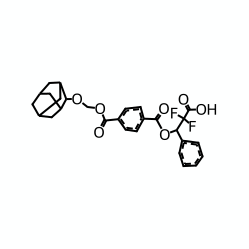 O=C(OCOC1C2CC3CC(C2)CC1C3)c1ccc(C(=O)OC(c2ccccc2)C(F)(F)C(=O)O)cc1